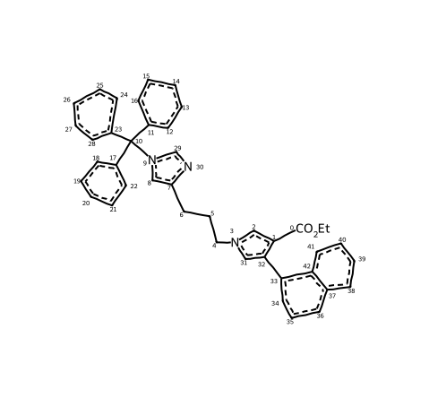 CCOC(=O)c1cn(CCCc2cn(C(c3ccccc3)(c3ccccc3)c3ccccc3)cn2)cc1-c1cccc2ccccc12